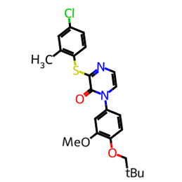 COc1cc(-n2ccnc(Sc3ccc(Cl)cc3C)c2=O)ccc1OCC(C)(C)C